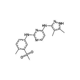 Cc1ccc(Nc2nccc(Nc3n[nH]c(C)c3C)n2)cc1S(C)(=O)=O